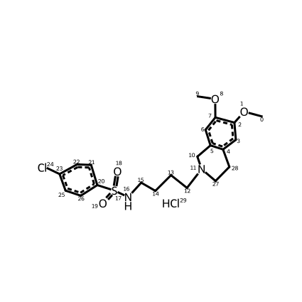 COc1cc2c(cc1OC)CN(CCCCNS(=O)(=O)c1ccc(Cl)cc1)CC2.Cl